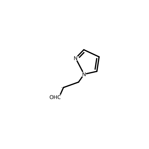 O=C[CH]Cn1cccn1